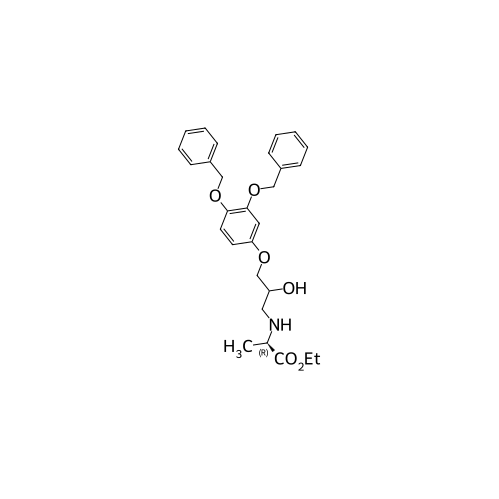 CCOC(=O)[C@@H](C)NCC(O)COc1ccc(OCc2ccccc2)c(OCc2ccccc2)c1